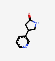 O=C1C[C](c2cccnc2)CN1